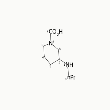 CCCNC1CCCN(C(=O)O)C1